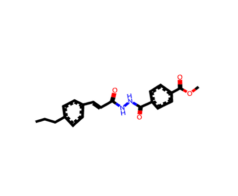 CCCc1ccc(C=CC(=O)NNC(=O)c2ccc(C(=O)OC)cc2)cc1